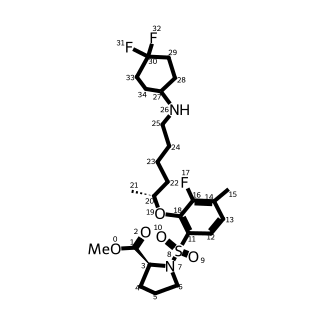 COC(=O)[C@@H]1CCCN1S(=O)(=O)c1ccc(C)c(F)c1O[C@H](C)CCCCNC1CCC(F)(F)CC1